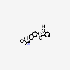 C/C(=C/C1CCC2CCC(OC(=O)c3ccccc3O)CC2C1)C(=O)Cl